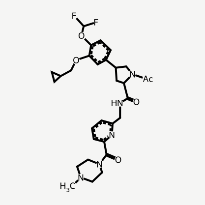 CC(=O)N1CC(c2ccc(OC(F)F)c(OCC3CC3)c2)CC1C(=O)NCc1cccc(C(=O)N2CCN(C)CC2)n1